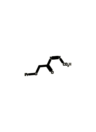 CC(C)OCC(=O)/N=N\C(=O)O